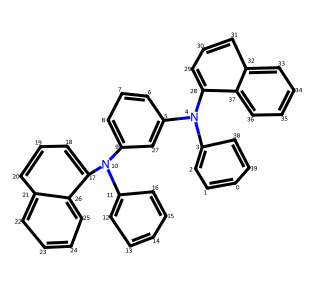 c1ccc(N(c2cccc(N(c3ccccc3)c3cccc4ccccc34)c2)c2cccc3ccccc23)cc1